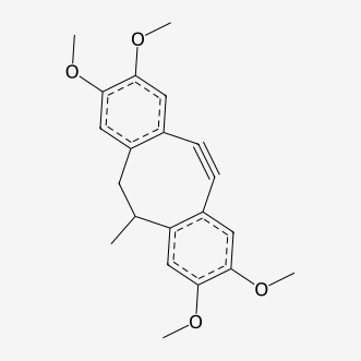 COc1cc2c(cc1OC)CC(C)c1cc(OC)c(OC)cc1C#C2